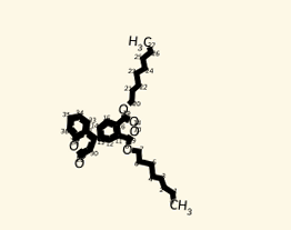 CCCCCCCCOC(=O)c1ccccc1C(=O)OCCCCCCCC.O=c1ccc2ccccc2o1